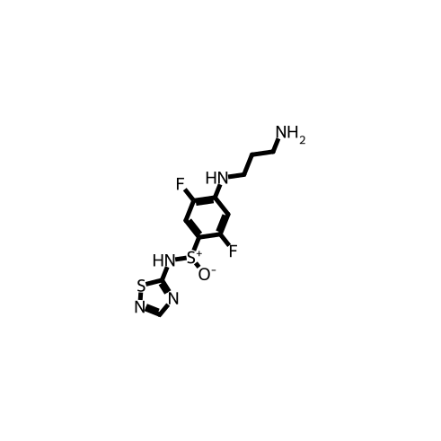 NCCCNc1cc(F)c([S+]([O-])Nc2ncns2)cc1F